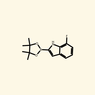 CC1(C)OB(c2cc3cccc(F)c3[nH]2)OC1(C)C